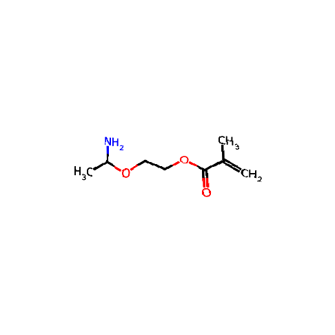 C=C(C)C(=O)OCCOC(C)N